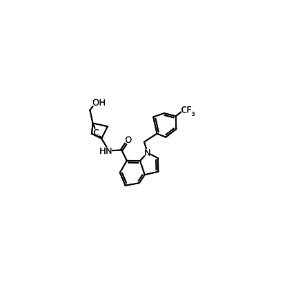 O=C(NC12CC(CO)(C1)C2)c1cccc2ccn(Cc3ccc(C(F)(F)F)cc3)c12